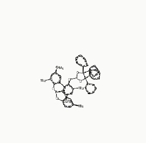 COc1cc(-c2cc(OC)cc(C(C)(C)C)c2OP2OC(c3ccccc3)(c3ccccc3)C(c3ccccc3)(c3ccccc3)O2)c(OP2Oc3ccc(C(C)(C)C)cc3O2)c(C(C)(C)C)c1